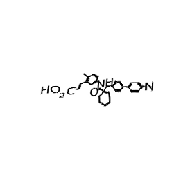 Cc1ccc(NC(=O)C2(Cc3ccc(-c4ccc(N(C)C)cc4)cc3)CCCCC2)cc1/C=C/C(=O)O